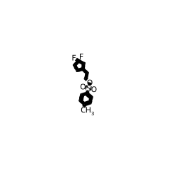 Cc1ccc(S(=O)(=O)OCCC2CCC(F)(F)C2)cc1